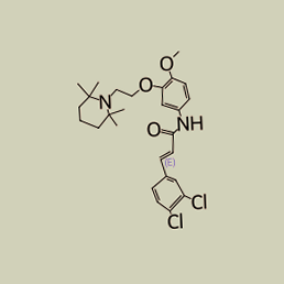 COc1ccc(NC(=O)/C=C/c2ccc(Cl)c(Cl)c2)cc1OCCN1C(C)(C)CCCC1(C)C